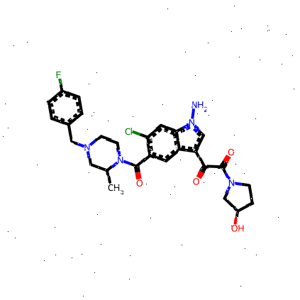 CC1CN(Cc2ccc(F)cc2)CCN1C(=O)c1cc2c(C(=O)C(=O)N3CCC(O)C3)cn(N)c2cc1Cl